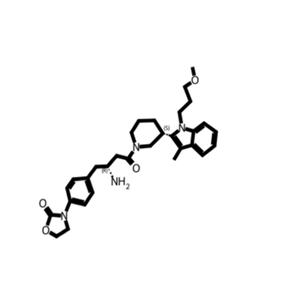 COCCCn1c([C@H]2CCCN(C(=O)C[C@H](N)Cc3ccc(N4CCOC4=O)cc3)C2)c(C)c2ccccc21